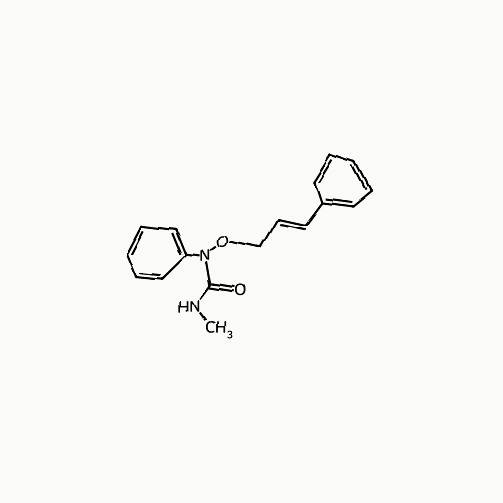 CNC(=O)N(OCC=Cc1ccccc1)c1ccccc1